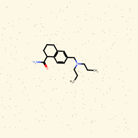 CCCN(CCC)Cc1ccc2c(c1)CC[CH]C2C(N)=O